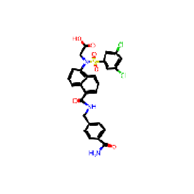 NC(=O)c1ccc(CNC(=O)c2cccc3c(N(CC(=O)O)S(=O)(=O)c4cc(Cl)cc(Cl)c4)cccc23)cc1